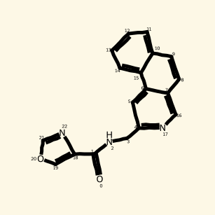 O=C(NCc1cc2c(ccc3ccccc32)cn1)c1cocn1